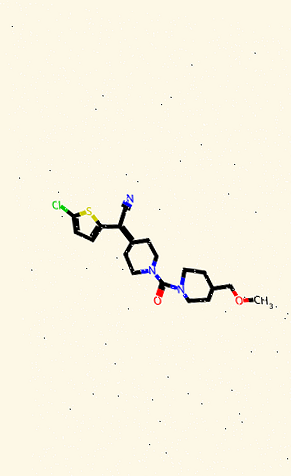 COCC1CCN(C(=O)N2CCC(=C(C#N)c3ccc(Cl)s3)CC2)CC1